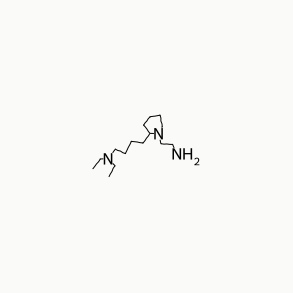 CCN(CC)CCCCC1CCCCN1CCN